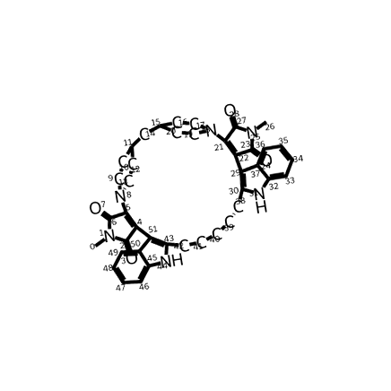 CN1C(=O)C2=C(C1=O)N1CCC(CC1)CC1CCN(CC1)C1=C(C(=O)N(C)C1=O)c1c([nH]c3ccccc13)CCCCCc1[nH]c3ccccc3c12